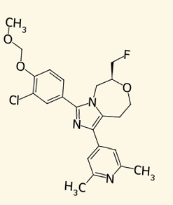 COCOc1ccc(-c2nc(-c3cc(C)nc(C)c3)c3n2C[C@@H](CF)OCC3)cc1Cl